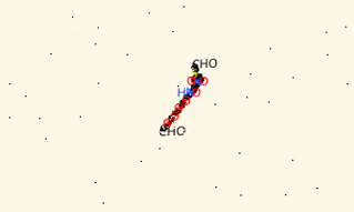 O=CCCOCCOCCOCCOCCNC(=O)CCN1C(=O)CC(SCCC=O)C1=O